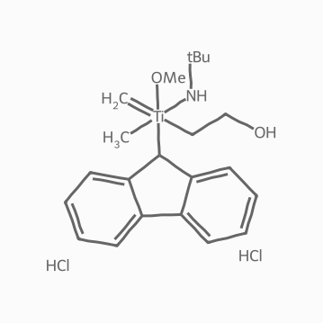 Cl.Cl.[CH2]=[Ti]([CH3])([CH2]CO)([NH]C(C)(C)C)([O]C)[CH]1c2ccccc2-c2ccccc21